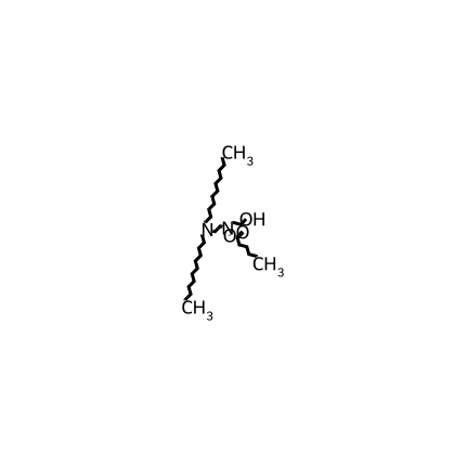 CCCCCCCCCCCCN(CCCCCCCCCCCC)CCN(CCO)OC(=O)CCCCC